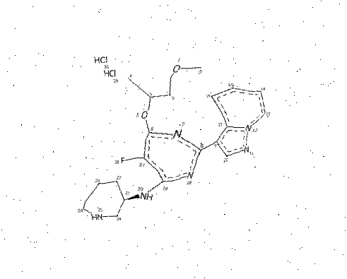 COCC(C)Oc1nc(-c2cnn3ccccc23)nc(N[C@@H]2CCCNC2)c1F.Cl.Cl